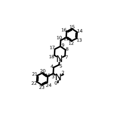 CN(C)C(CCN1CCC(Cc2ccccc2)CC1)c1ccccc1